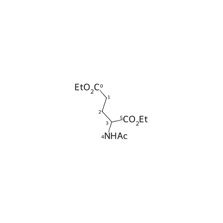 CCOC(=O)CCC(NC(C)=O)C(=O)OCC